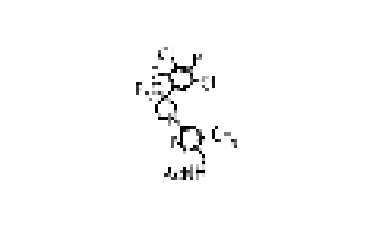 CC(=O)NCc1cnc(N2CCC(c3cc(Cl)c(F)c(Cl)c3F)(C(F)(F)F)C2)cc1C(F)(F)F